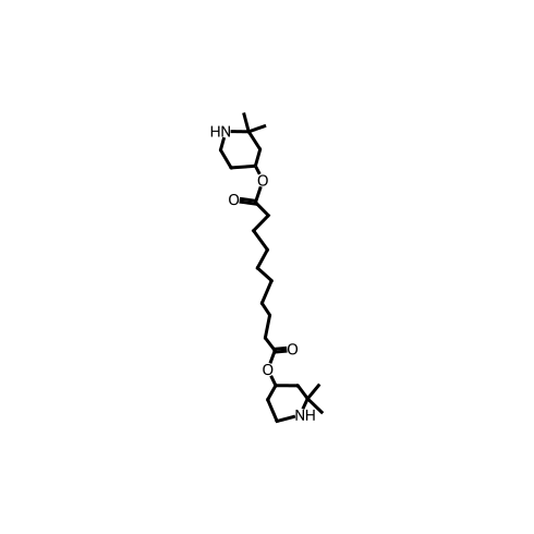 CC1(C)CC(OC(=O)CCCCCCCCC(=O)OC2CCNC(C)(C)C2)CCN1